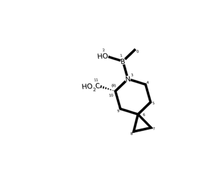 CB(O)N1CCC2(CC2)C[C@@H]1C(=O)O